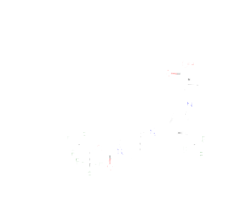 O=C(O)[C@@H]1CCCN(c2cc(CN3CCC4(CCN(C(=O)OC(C(F)(F)F)C(F)(F)F)CC4)C3)cc(C(F)(F)F)c2)C1